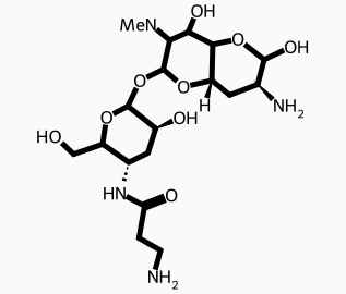 CNC1C(OC2OC(CO)[C@@H](NC(=O)CCN)C[C@@H]2O)O[C@H]2C[C@H](N)C(O)OC2C1O